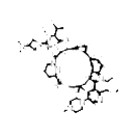 CCn1c(-c2cc(N3CCN(C)CC3)cnc2[C@H](C)OC)c2c3cc(ccc31)-c1csc(n1)C[C@H](NC(=O)C(C(C)C)N(C)C(=O)N1CC(N(C)C)C1)C(=O)N1CCC[C@H](N1)C(=O)OCC(C)(C)C2